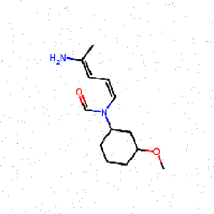 COC1CCCC(N(C=O)/C=C\C=C(/C)N)C1